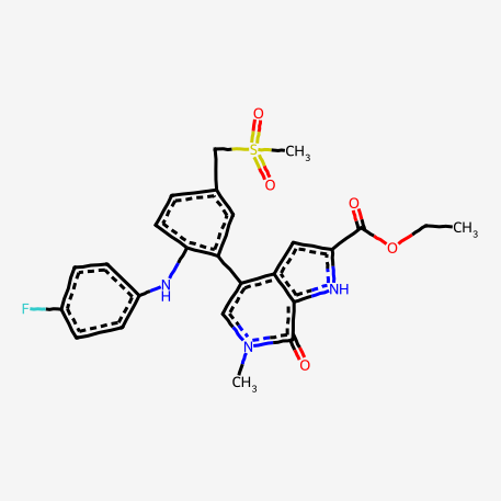 CCOC(=O)c1cc2c(-c3cc(CS(C)(=O)=O)ccc3Nc3ccc(F)cc3)cn(C)c(=O)c2[nH]1